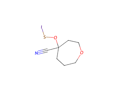 N#CC1(OSI)CCCOCC1